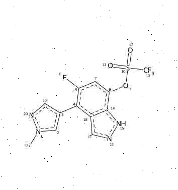 Cn1cc(-c2c(F)cc(OS(=O)(=O)C(F)(F)F)c3[nH]ncc23)cn1